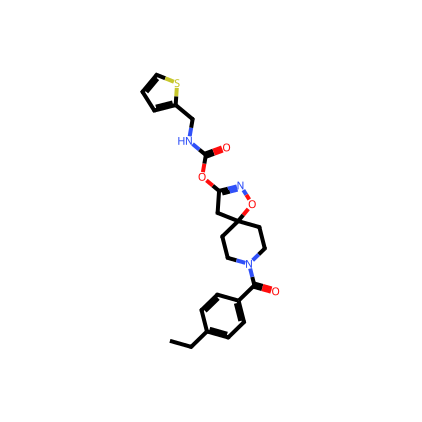 CCc1ccc(C(=O)N2CCC3(CC2)CC(OC(=O)NCc2cccs2)=NO3)cc1